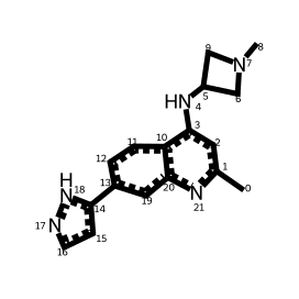 Cc1cc(NC2CN(C)C2)c2ccc(-c3ccn[nH]3)cc2n1